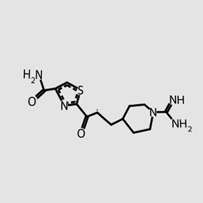 N=C(N)N1CCC(C[CH]C(=O)c2nc(C(N)=O)cs2)CC1